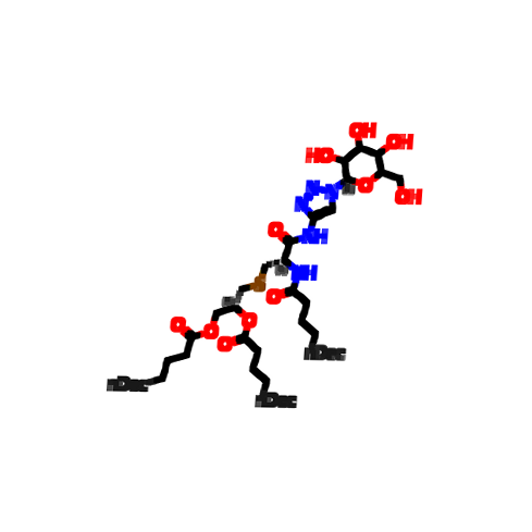 CCCCCCCCCCCCCC(=O)N[C@H](CSC[C@@H](COC(=O)CCCCCCCCCCCCC)OC(=O)CCCCCCCCCCCCC)C(=O)Nc1cn([C@@H]2OC(CO)C(O)C(O)C2O)nn1